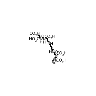 CC(=O)CN(CCN(CC(=O)O)CC(=O)NCCCCCNCCCC(NC(=O)NC(CCC(=O)O)C(=O)O)C(=O)O)CC(=O)O